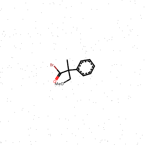 COCC(C)(C(=O)Br)c1ccccc1